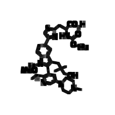 CCn1c(-c2cc(N3CCN(C)CC3)cnc2[C@H](C)OC)c(CC(C)(C)CO)c2cc(-c3csc(CC(NC(=O)OC(C)(C)C)C(=O)O)n3)ccc21